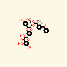 COc1cc(C2Oc3cc([C@@H]4Oc5cc(O)cc(O)c5C(=O)C4O)ccc3O[C@H]2COC(=O)C(C)c2cccc(C(=O)c3ccccc3)c2)ccc1O